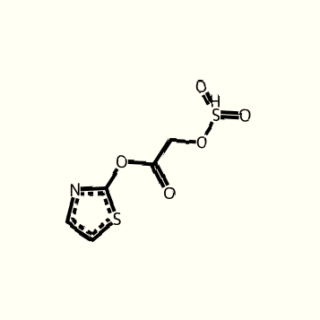 O=C(CO[SH](=O)=O)Oc1nccs1